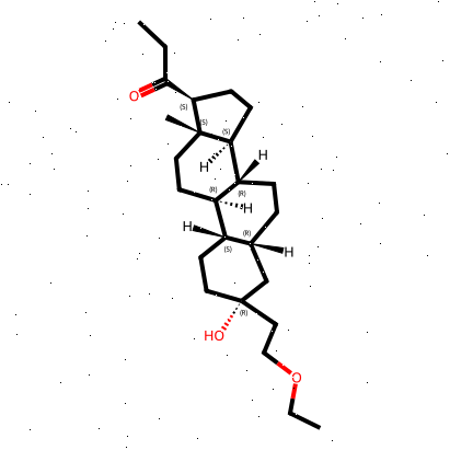 CCOCC[C@@]1(O)CC[C@H]2[C@H](CC[C@@H]3[C@@H]2CC[C@]2(C)[C@@H](C(=O)CC)CC[C@@H]32)C1